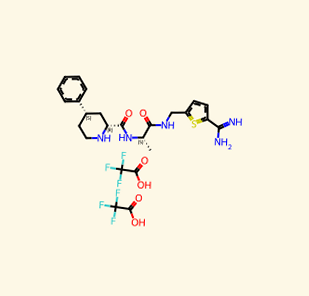 C[C@H](NC(=O)[C@H]1C[C@@H](c2ccccc2)CCN1)C(=O)NCc1ccc(C(=N)N)s1.O=C(O)C(F)(F)F.O=C(O)C(F)(F)F